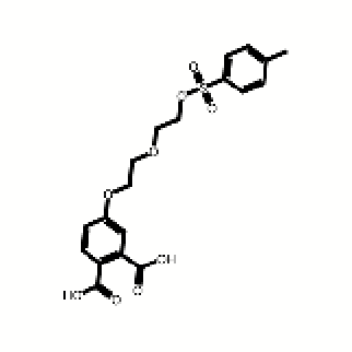 Cc1ccc(S(=O)(=O)OCCOCCOc2ccc(C(=O)O)c(C(=O)O)c2)cc1